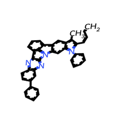 C=C/C=C\c1c(C)c2cc3c4cccc5c6nc7ccc(-c8ccccc8)cc7nc6n(c3cc2n1-c1ccccc1)c45